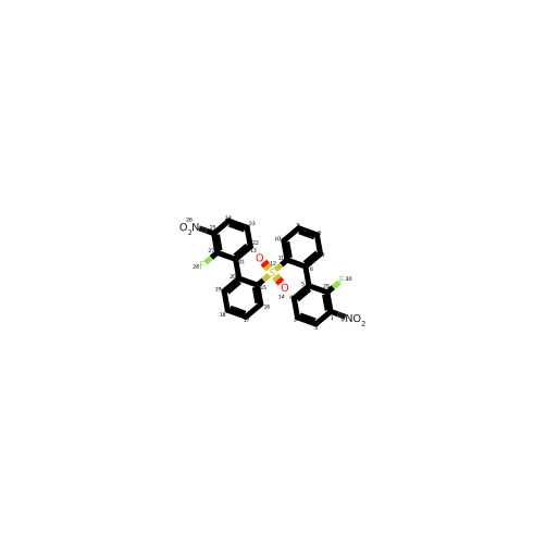 O=[N+]([O-])c1cccc(-c2ccccc2S(=O)(=O)c2ccccc2-c2cccc([N+](=O)[O-])c2F)c1F